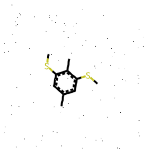 CSc1cc(C)cc(SC)c1C